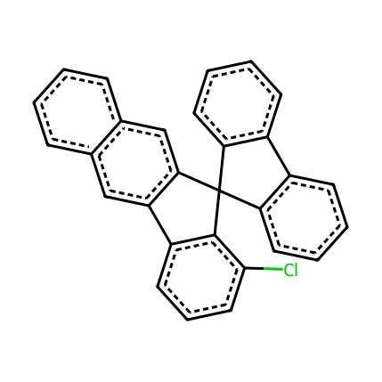 Clc1cccc2c1C1(c3ccccc3-c3ccccc31)c1cc3ccccc3cc1-2